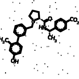 Cc1cc(O)ccc1-c1cccc(CN2CCC[C@@H]2C(=O)N[C@@H](C)c2ccc(C(=O)O)cc2)c1